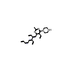 C=C\C=C/C=C(C=C)/C(C=C)=C/c1nc(C)nc(N2CCNCC2)c1C=C